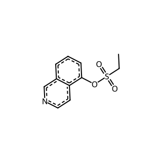 CCS(=O)(=O)Oc1cccc2cnccc12